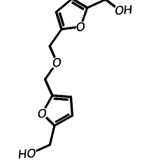 OCc1ccc(COCc2ccc(CO)o2)o1